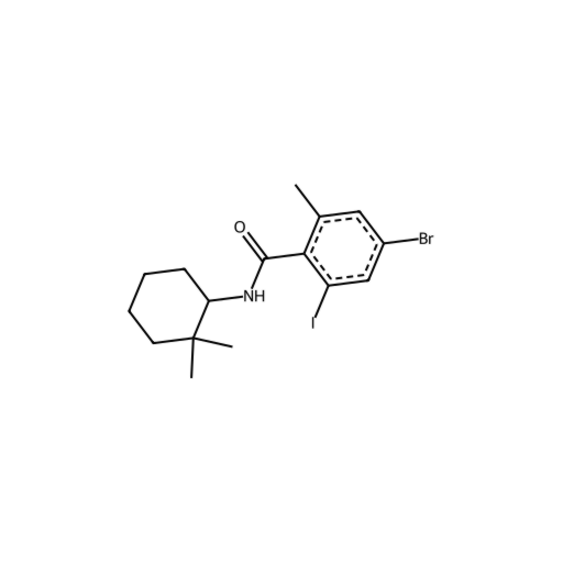 Cc1cc(Br)cc(I)c1C(=O)NC1CCCCC1(C)C